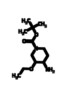 CCOC1CN(C(=O)OC(C)(C)C)CCC1N